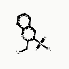 NS(=O)(=O)c1cc2ccccc2nc1CC(F)(F)F